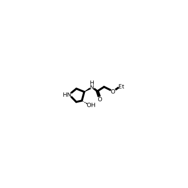 CCOCC(=O)N[C@@H]1CNC[C@H]1O